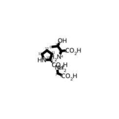 CC(O)C(N)C(=O)O.NCC(=O)O.O=C(O)[C@@H]1CCCN1